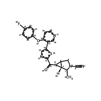 CC1[C@H]2C(CN1C#N)N2C(=O)c1ncc(-c2cnccc2Oc2ccc(F)cc2)s1